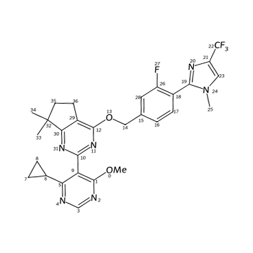 COc1ncnc(C2CC2)c1-c1nc(OCc2ccc(-c3nc(C(F)(F)F)cn3C)c(F)c2)c2c(n1)C(C)(C)CC2